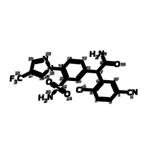 N#Cc1ccc(Cl)c(C(C(N)=O)c2ccc(-n3cc(C(F)(F)F)cn3)c(S(N)(=O)=O)c2)c1